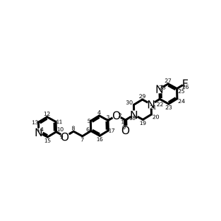 O=C(Oc1ccc(CCOc2cccnc2)cc1)N1CCN(c2ccc(F)cn2)CC1